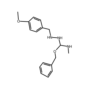 CNC(NNCc1ccc(OC)cc1)OCc1ccccc1